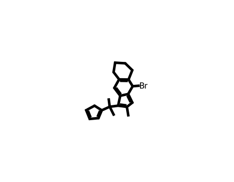 CC1=C(C(C)(C)C2=CC=CC2)C2=CC3=C(CCCC3)C(Br)C2=C1